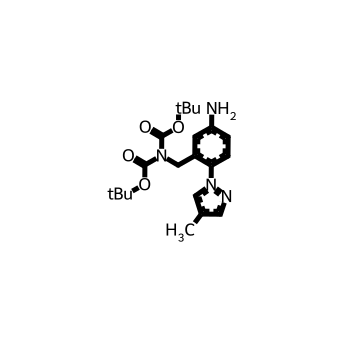 Cc1cnn(-c2ccc(N)cc2CN(C(=O)OC(C)(C)C)C(=O)OC(C)(C)C)c1